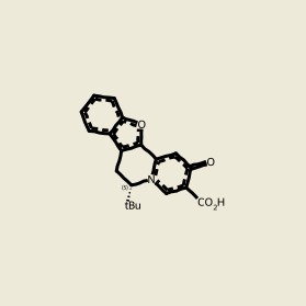 CC(C)(C)[C@@H]1Cc2c(oc3ccccc23)-c2cc(=O)c(C(=O)O)cn21